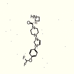 O=C([C@H]1CCN1)N1CCN(N2C=CN(c3ccc(OC(F)F)cc3)C2)CC1